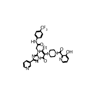 CCc1c(N2CCN(C(=O)c3ncccc3O)CC2)c(=O)n2nc(-c3cccnc3)nc2n1CC(=O)Nc1ccc(C(F)(F)F)cc1